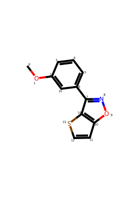 COc1cccc(-c2noc3ccsc23)c1